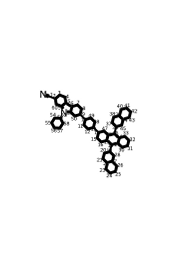 N#Cc1ccc2c3ccc(-c4ccc(-c5ccc6c(-c7ccc8ccccc8c7)c7ccccc7c(-c7ccc8ccccc8c7)c6c5)cc4)cc3n(-c3ccccc3)c2c1